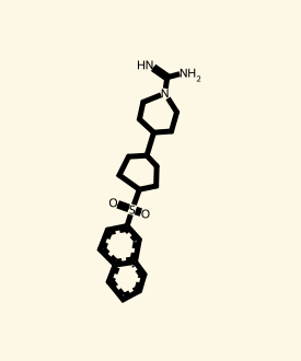 N=C(N)N1CCC(C2CCC(S(=O)(=O)c3ccc4ccccc4c3)CC2)CC1